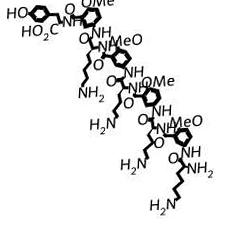 COc1ccc(NC(=O)[C@H](CCCCCN)NC(=O)c2cc(NC(=O)[C@H](CCCCN)NC(=O)c3cc(NC(=O)[C@H](CCCCN)NC(=O)c4cc(NC(=O)[C@@H](N)CCCCN)ccc4OC)ccc3OC)ccc2OC)cc1C(=O)N[C@@H](Cc1ccc(O)cc1)C(=O)O